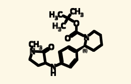 CN1CCC(Nc2ccc([C@@H]3CCCCN3C(=O)OC(C)(C)C)cc2)C1=O